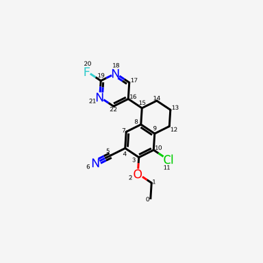 CCOc1c(C#N)cc2c(c1Cl)CCCC2c1cnc(F)nc1